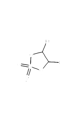 CCC1OS(=O)(=O)OC1CC